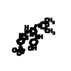 C[C@@H]1CN(Cc2cc(Nc3nc4ccc(N5CCOC5=O)cc4s3)nc(NC3CCC(O)CC3)c2)C[C@H](C)O1